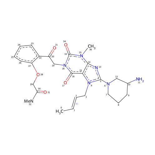 C/C=C/Cn1c(N2CCCC(N)C2)nc2c1c(=O)n(CC(=O)c1ccccc1OCC(=O)NC)c(=O)n2C